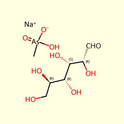 C[As](=O)([O-])O.O=C[C@H](O)[C@@H](O)[C@H](O)[C@H](O)CO.[Na+]